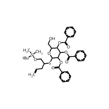 C=CCC(CO[Si](C)(C)C(C)(C)C)SC1OC(CO)C(OC(=O)c2ccccc2)C(OC(=O)c2ccccc2)C1OC(=O)c1ccccc1